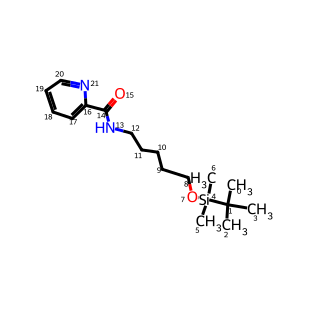 CC(C)(C)[Si](C)(C)OCCCCCNC(=O)c1ccccn1